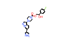 Cn1cc(-c2ccc3c(N4CCN(C(=O)OCC(O)c5ccc(F)cc5)CC4)cnn3c2)cn1